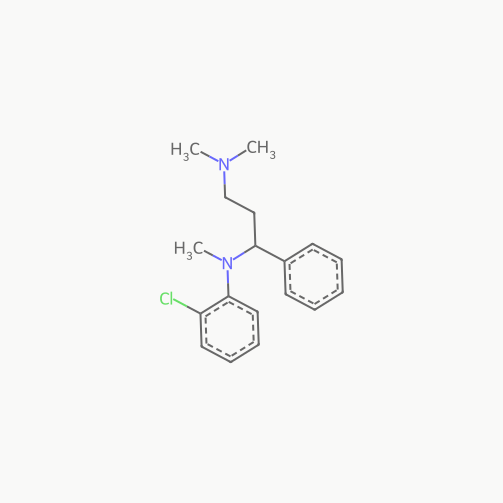 CN(C)CCC(c1ccccc1)N(C)c1ccccc1Cl